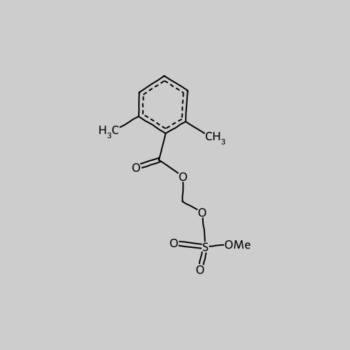 COS(=O)(=O)OCOC(=O)c1c(C)cccc1C